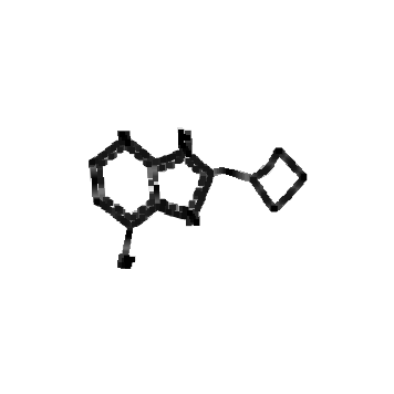 Brc1ccnc2[nH]c(C3CCC3)nc12